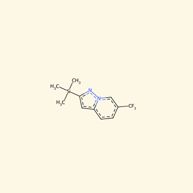 C[Si](C)(C)c1cc2ccc(C(F)(F)F)cn2n1